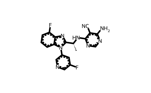 C[C@@H](Nc1ncnc(N)c1C#N)c1nc2c(F)cccc2n1-c1cncc(F)c1